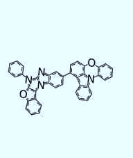 c1ccc(-n2c3oc4ccccc4c3n3c4ccc(-c5ccc6c7c5c5ccccc5n7-c5ccccc5O6)cc4nc23)cc1